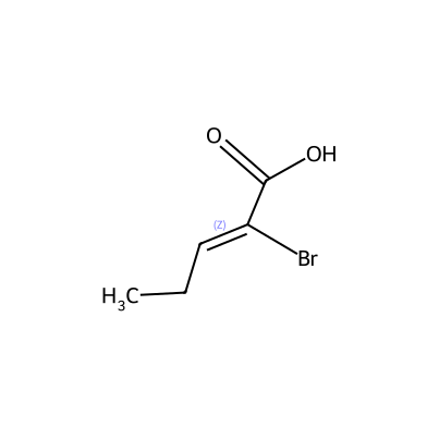 CC/C=C(\Br)C(=O)O